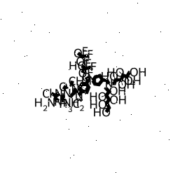 CCn1c(CN(C=O)c2nc(Cl)c(N)nc2N)[n+](CC)c2ccc(C(=O)N3CCC(CN(C[C@H](O)[C@@H](O)[C@H](O)[C@H](O)CO)C[C@H](O)[C@@H](O)[C@H](O)[C@H](O)CO)CC3)cc21.O=C(O)C(F)(F)F.O=C([O-])C(F)(F)F